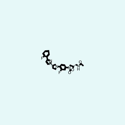 CC(=O)NC[C@H]1CN(c2ccc(N3CC[C@H](n4ccc(-c5ccccc5F)n4)C3)c(F)c2)C(=O)O1